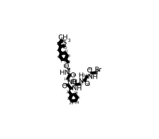 Cc1cc(Cc2ccc(COCNC(=O)CNC(=O)[C@H](Cc3ccccc3)NC(=O)CNC(=O)CNC(=O)CBr)cc2)cs1